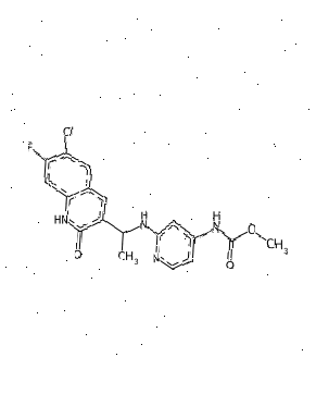 COC(=O)Nc1ccnc(NC(C)c2cc3cc(Cl)c(F)cc3[nH]c2=O)c1